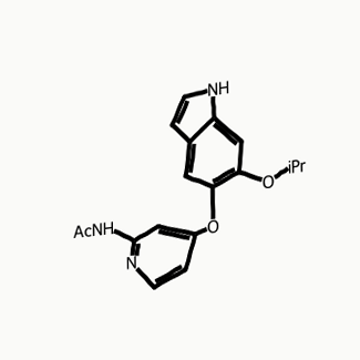 CC(=O)Nc1cc(Oc2cc3cc[nH]c3cc2OC(C)C)ccn1